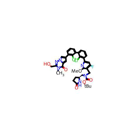 COc1nc(-c2cccc(-c3cccc(-c4cc5c(=O)n(C)c(CO)nn5c4)c3Cl)c2Cl)cc(F)c1CN(C[C@@H]1CCC(=O)N1)C(=O)OC(C)(C)C